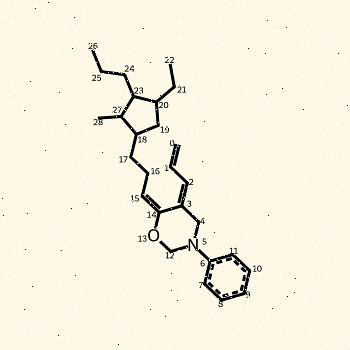 C=C/C=C1/CN(c2ccccc2)CO/C1=C/CCC1CC(CC)C(CCC)C1C